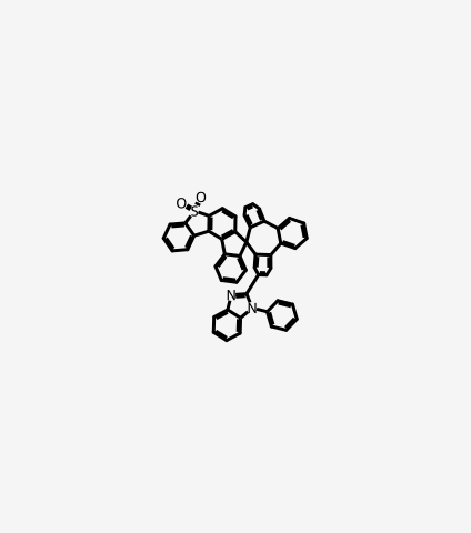 O=S1(=O)c2ccccc2-c2c1ccc1c2-c2ccccc2C12c1ccccc1-c1ccccc1-c1ccc(-c3nc4ccccc4n3-c3ccccc3)cc12